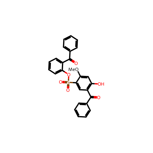 COc1cc(O)c(C(=O)c2ccccc2)cc1S(=O)(=O)Oc1ccccc1C(=O)c1ccccc1